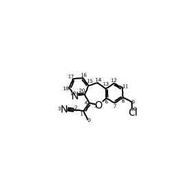 CC(C#N)=C1Oc2cc(CCl)ccc2Cc2cccnc21